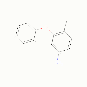 Cc1ccc(N)cc1Oc1ccccc1